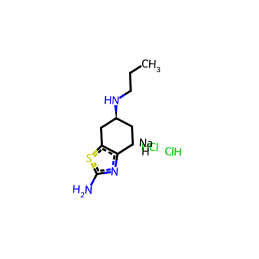 CCCN[C@H]1CCc2nc(N)sc2C1.Cl.Cl.[NaH]